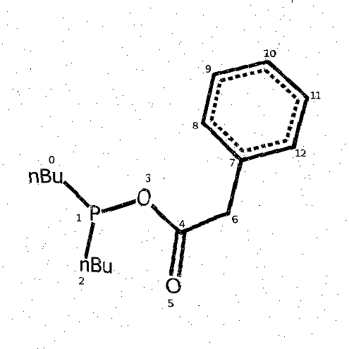 CCCCP(CCCC)OC(=O)Cc1ccccc1